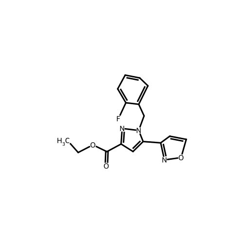 CCOC(=O)c1cc(-c2ccon2)n(Cc2ccccc2F)n1